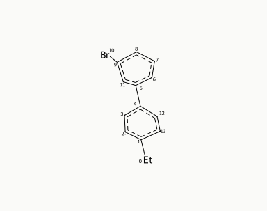 CCc1[c]cc(-c2cccc(Br)c2)cc1